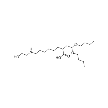 CCCCOC(CC(CCCCCCNCCO)C(=O)O)OCCCC